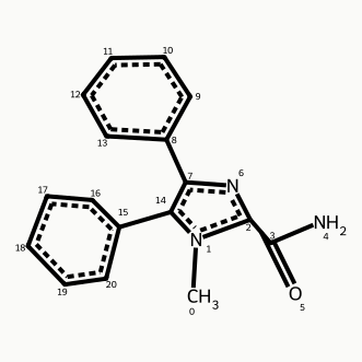 Cn1c(C(N)=O)nc(-c2ccccc2)c1-c1ccccc1